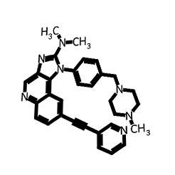 CN1CCN(Cc2ccc(-n3c(N(C)C)nc4cnc5ccc(C#Cc6cccnc6)cc5c43)cc2)CC1